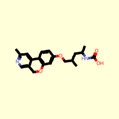 Cc1cc2c(cn1)COc1cc(OCC(C)CC(C)NC(=O)O)ccc1-2